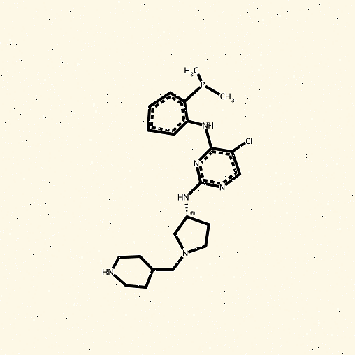 CP(C)c1ccccc1Nc1nc(N[C@@H]2CCN(CC3CCNCC3)C2)ncc1Cl